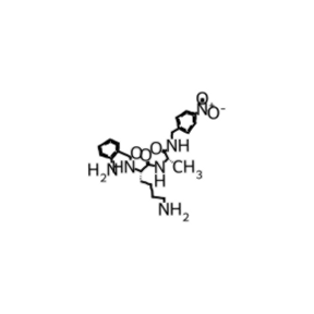 C[C@H](NC(=O)[C@H](CCCCN)NC(=O)c1ccccc1N)C(=O)NCc1ccc([N+](=O)[O-])cc1